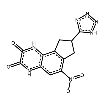 O=c1[nH]c2cc([N+](=O)[O-])c3c(c2[nH]c1=O)CC(c1nnn[nH]1)C3